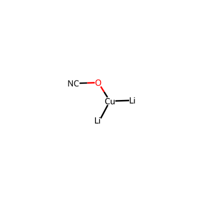 [Li][Cu]([Li])[O]C#N